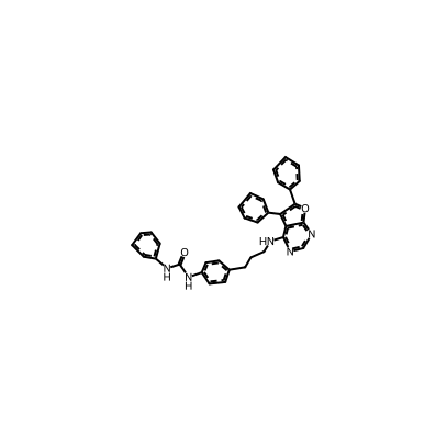 O=C(Nc1ccccc1)Nc1ccc(CCCNc2ncnc3oc(-c4ccccc4)c(-c4ccccc4)c23)cc1